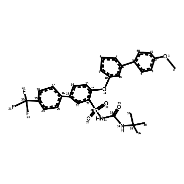 COc1ccc(-c2cccc(Oc3ccc(-c4ccc(C(F)(F)F)cc4)cc3S(=O)(=O)NC(=O)NC(C)(C)C)c2)cc1